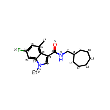 CCn1cc(C(=O)NCC2CCCCCC2)c2c(C)cc(F)cc21